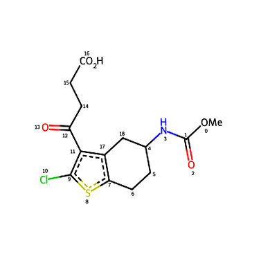 COC(=O)NC1CCc2sc(Cl)c(C(=O)CCC(=O)O)c2C1